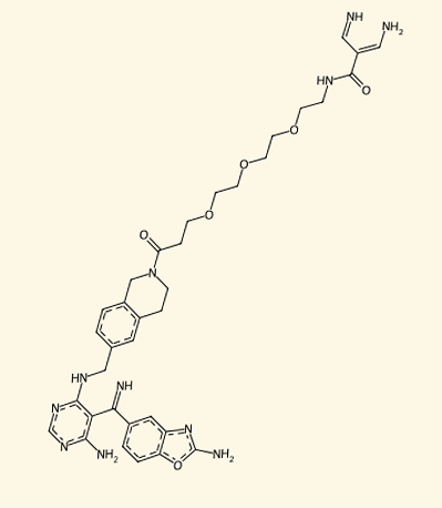 N=C/C(=C\N)C(=O)NCCOCCOCCOCCC(=O)N1CCc2cc(CNc3ncnc(N)c3C(=N)c3ccc4oc(N)nc4c3)ccc2C1